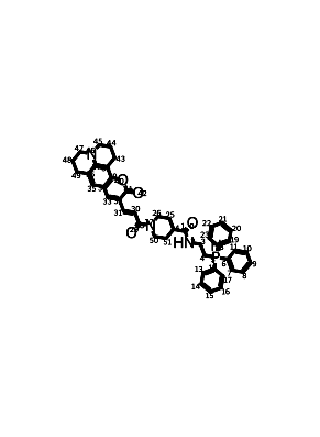 O=C(NCC[PH](c1ccccc1)(c1ccccc1)c1ccccc1)C1CCN(C(=O)/C=C/c2cc3cc4c5c(c3oc2=O)CCCN5CCC4)CC1